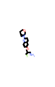 NC/C(=C\F)COc1ccc2nc(N3CC4CCOCC3C4)ccc2c1